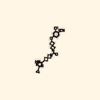 N#Cc1ccc(OC2CC3(C2)CN(C(=O)N2CC4(CC(c5nc(C6CC6)n[nH]5)C4)C2)C3)cc1C(F)(F)F